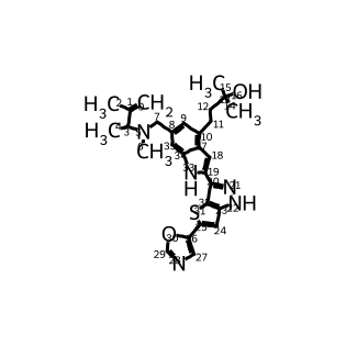 C=C(C)C(C)N(C)Cc1cc(CCC(C)(C)O)c2cc(-c3n[nH]c4cc(-c5cnco5)sc34)[nH]c2c1